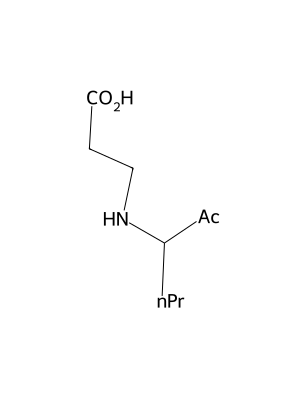 CCCC(NCCC(=O)O)C(C)=O